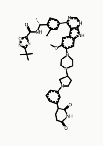 COc1cc2c(cc1N1CCN(C3CCN(c4cccc(C5CCC(=O)NC5=O)c4)C3)CC1)[nH]c1ncnc(-c3ccc([C@@H](C)NC(=O)c4nc(C(C)(C)C)no4)c(C)c3)c12